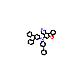 c1ccc(-c2ccc(N(c3ccc(-c4ccccc4)c(-c4ccccc4)c3)c3cc4oc5ccccc5c4c4cnccc34)cc2)cc1